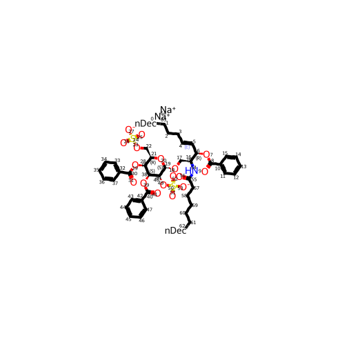 CCCCCCCCCCCCC/C=C/[C@@H](OC(=O)c1ccccc1)[C@H](CO[C@H]1O[C@H](COS(=O)(=O)[O-])[C@H](OC(=O)c2ccccc2)[C@H](OC(=O)c2ccccc2)[C@H]1OS(=O)(=O)[O-])NC(=O)CCCCCCCCCCCCCCC.[Na+].[Na+]